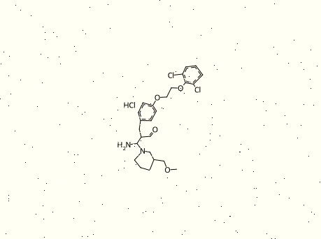 COCC1CCCN(C(N)C(C=O)Cc2ccc(OCCOc3c(Cl)cccc3Cl)cc2)C1.Cl